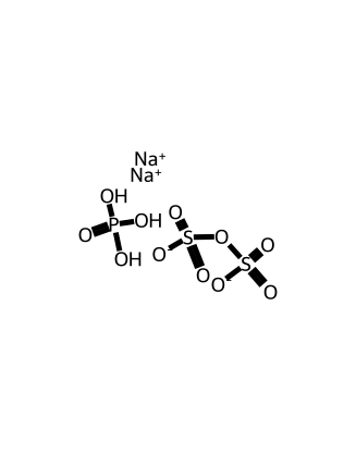 O=P(O)(O)O.O=S(=O)([O-])OS(=O)(=O)[O-].[Na+].[Na+]